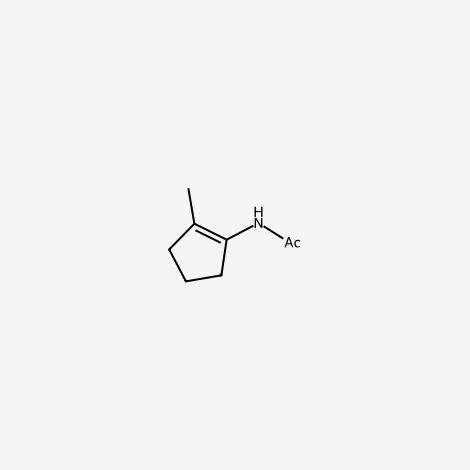 CC(=O)NC1=C(C)CCC1